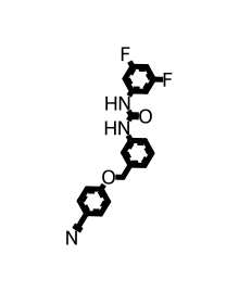 N#Cc1ccc(OCc2cccc(NC(=O)Nc3cc(F)cc(F)c3)c2)cc1